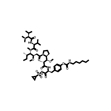 CCCCCCNC(=O)Oc1ccc(C[C@H](NC(=O)[C@H](C)[C@@H](OC)[C@@H]2CCCN2C(=O)C[C@@H](OC)[C@H]([C@@H](C)CC)N(C)C(=O)[C@@H](NC(=O)[C@H](C(C)C)N(C)C)C(C)C)C(=O)NS(=O)(=O)C2CC2)cc1